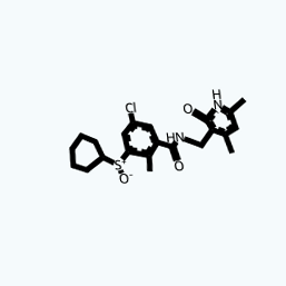 Cc1cc(C)c(CNC(=O)c2cc(Cl)cc([S+]([O-])C3CCCCC3)c2C)c(=O)[nH]1